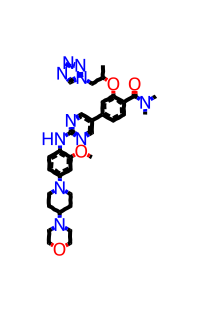 COc1cc(N2CCC(N3CCOCC3)CC2)ccc1Nc1ncc(-c2ccc(C(=O)N(C)C)c(OC(C)Cn3cnnn3)c2)cn1